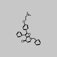 CN(C)CCOc1ccc(-c2oc3c(c2-c2ccccc2)c(=O)ccn3Cc2ccccc2)cc1